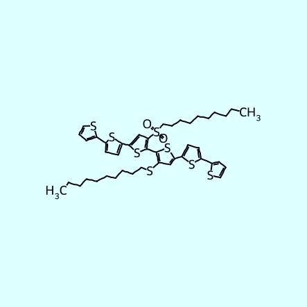 CCCCCCCCCCSc1cc(-c2ccc(-c3cccs3)s2)sc1-c1sc(-c2ccc(-c3cccs3)s2)cc1S(=O)(=O)CCCCCCCCCC